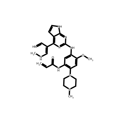 C=CC(=O)Nc1cc(Nc2nc(/C(C=N)=C/NC)c3cc[nH]c3n2)c(OC)cc1N1CCN(C)CC1